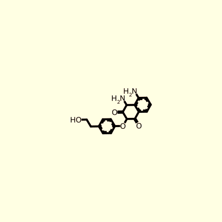 Nc1cccc2c1C(N)C(=O)C(Oc1ccc(CCO)cc1)C2=O